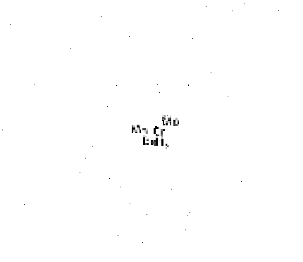 [BeH2].[Cr].[Mn].[Mo]